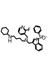 [O-][S+](c1ccccc1)n1cc(CN(CCCCNC2CCCCC2)Cc2cccnc2F)c2ccccc21